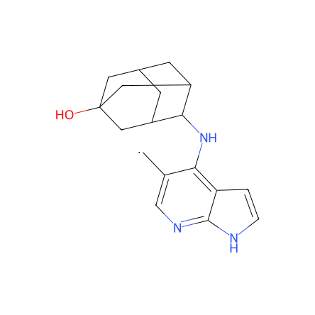 [CH2]c1cnc2[nH]ccc2c1NC1C2CC3CC1CC(O)(C3)C2